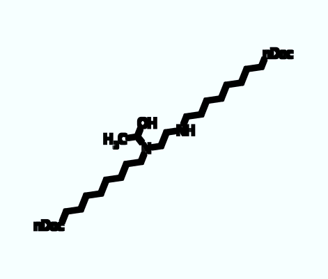 CCCCCCCCCCCCCCCCCCNCCN(CCCCCCCCCCCCCCCCCC)C(C)O